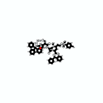 CO/N=C(/C(=O)NC1C(=O)N2C(C(=O)OC(c3ccccc3)c3ccccc3)=CC(/C=C/OS(=O)(=O)c3ccc(C)cc3)[S+]([O-])C12)c1csc(NC(c2ccccc2)(c2ccccc2)c2ccccc2)n1